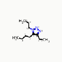 CCCCc1c(CC)nnn1CCC